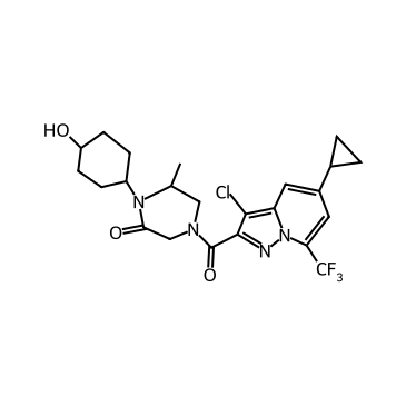 CC1CN(C(=O)c2nn3c(C(F)(F)F)cc(C4CC4)cc3c2Cl)CC(=O)N1C1CCC(O)CC1